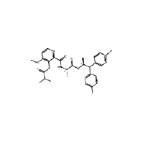 COc1ccnc(C(=O)N[C@@H](C)C(=O)O[C@@H](C)C(c2ccc(F)cc2)c2ccc(F)cc2)c1OC(=O)C(C)C